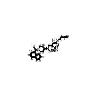 C#CCCNC(=O)CC(O)CN(SC)C1CCN(C(C)c2cccc3ccccc23)CC1